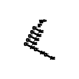 CC(=O)[O-].CC(=O)[O-].CC(=O)[O-].CC(=O)[O-].CC(=O)[O-].CC(=O)[O-].CC(=O)[O-].[K+].[W+6]